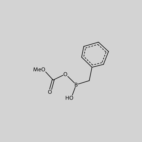 COC(=O)OB(O)Cc1ccccc1